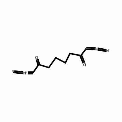 [N-]=[N+]=CC(=O)CCCCC(=O)C=[N+]=[N-]